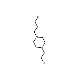 [O]CCCN1CCN(CCO)CC1